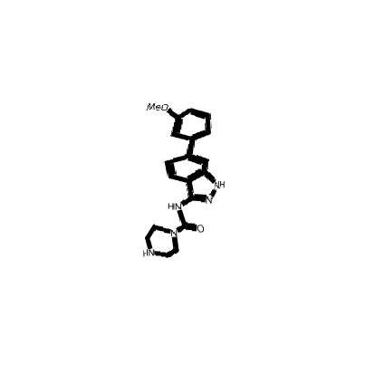 COc1cccc(-c2ccc3c(NC(=O)N4CCNCC4)n[nH]c3c2)c1